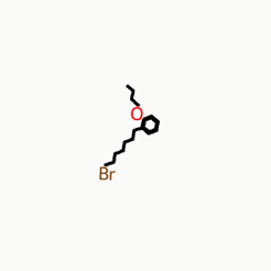 CCCCOc1ccccc1CCCCCCCBr